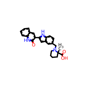 CC1(C(=O)O)CCCCN1Cc1ccc2[nH]c(-c3cc4ccccc4[nH]c3=O)cc2c1